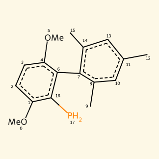 COc1ccc(OC)c(-c2c(C)cc(C)cc2C)c1P